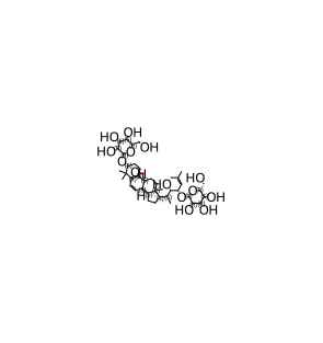 CC(C)=CC(O[C@@H]1O[C@H](CO)[C@@H](O)[C@@H](O)[C@H]1O)C(O)[C@@H](C)[C@H]1CC[C@@]2(C)[C@@H]3C=C[C@@]45OC[C@]3(CC[C@]12C)[C@@H]4CC[C@H](O[C@@H]1O[C@H](CO)[C@@H](O)[C@H](O)[C@H]1O)C5(C)C